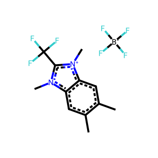 Cc1cc2c(cc1C)[n+](C)c(C(F)(F)F)n2C.F[B-](F)(F)F